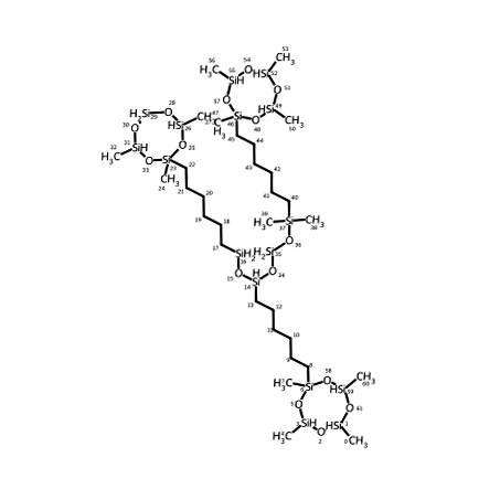 C[SiH]1O[SiH](C)O[Si](C)(CCCCCC[SiH](O[SiH2]CCCCCC[Si]2(C)O[SiH](C)O[SiH2]O[SiH](C)O2)O[SiH2]O[Si](C)(C)CCCCCC[Si]2(C)O[SiH](C)O[SiH](C)O[SiH](C)O2)O[SiH](C)O1